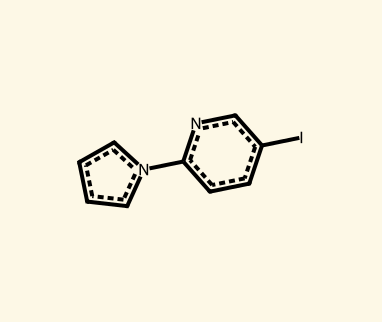 Ic1ccc(-n2cccc2)nc1